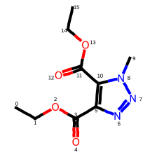 CCOC(=O)c1nnn(C)c1C(=O)OCC